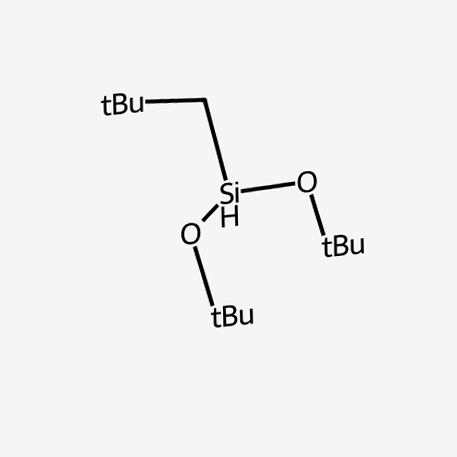 CC(C)(C)C[SiH](OC(C)(C)C)OC(C)(C)C